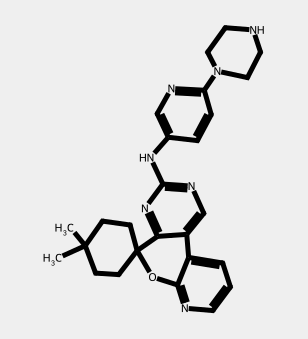 CC1(C)CCC2(CC1)Oc1ncccc1-c1cnc(Nc3ccc(N4CCNCC4)nc3)nc12